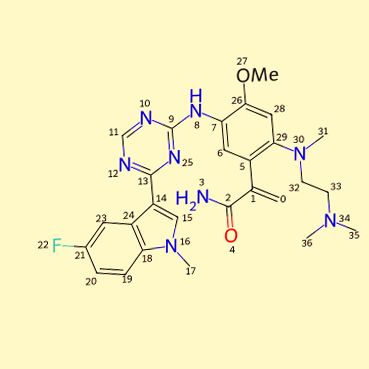 C=C(C(N)=O)c1cc(Nc2ncnc(-c3cn(C)c4ccc(F)cc34)n2)c(OC)cc1N(C)CCN(C)C